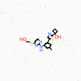 Cc1cc(Nc2nccc(SCCO)n2)cc(-c2cnc(C3(O)CCC3)s2)c1